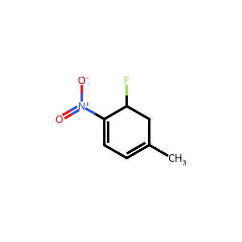 CC1=CC=C([N+](=O)[O-])C(F)C1